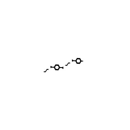 O=C(O)c1ccc(C(=O)OCCOC(=O)c2ccc(C(=O)OCCO)cc2)cc1